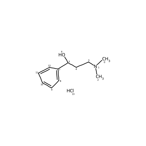 CN(C)CCC(O)c1ccccc1.Cl